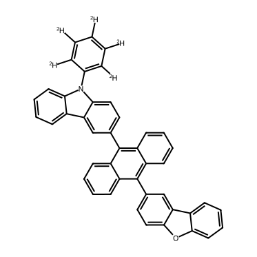 [2H]c1c([2H])c([2H])c(-n2c3ccccc3c3cc(-c4c5ccccc5c(-c5ccc6oc7ccccc7c6c5)c5ccccc45)ccc32)c([2H])c1[2H]